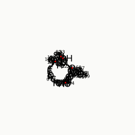 C=C1CC2CCC/C=C/C(O[Si](C)(C)C(C)(C)C)[C@@H]3O[C@H]4CCC(CC(=O)CC5C(C[C@@H](OC(C)=O)C(=C)[C@H](C)C[C@H](O)CCC1O2)OC(CC(CO[Si](C)(C)C(C)(C)C)O[Si](C)(C)C(C)(C)C)[C@@H]5OC)O[C@@H]4[C@H](O)C3O[Si](C)(C)C(C)(C)C